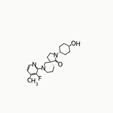 Cc1ccnc(N2CCC[C@@]3(CCN([C@H]4CC[C@H](O)CC4)C3=O)C2)c1F